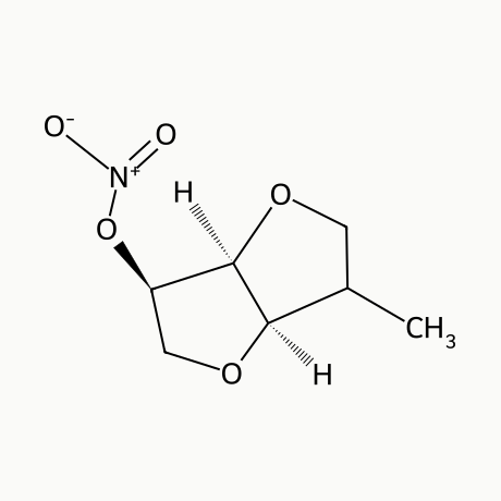 CC1CO[C@H]2[C@@H]1OC[C@H]2O[N+](=O)[O-]